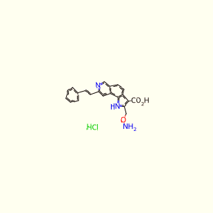 Cl.NOCc1[nH]c2c(ccc3cnc(C=Cc4ccccc4)cc32)c1C(=O)O